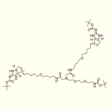 CC(C)(C)OC(=O)/N=C1\N[C@H]2[C@H](CS[C@H]2CCCCCOCCCCNC(=O)CN(CCOCCOCCNC(=O)OC(C)(C)C)CC(=O)NCCCCOCCCCC[C@@H]2SC[C@@H]3N/C(=N/C(=O)OC(C)(C)C)N[C@@H]32)N1